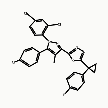 Cc1c(-c2nnc(C3(c4ccc(F)cc4)CC3)s2)nn(-c2ccc(Cl)cc2Cl)c1-c1ccc(Cl)cc1